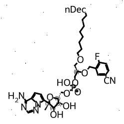 CCCCCCCCCCCCCCCCCCOC[C@H](COP(=O)(O)OC[C@H]1O[C@@](C)(c2ccc3c(N)ncnn23)[C@H](O)[C@@H]1O)OCc1cc(C#N)ccc1F